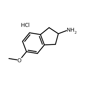 COc1ccc2c(c1)CC(N)C2.Cl